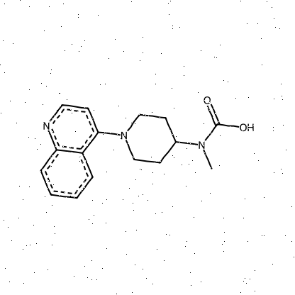 CN(C(=O)O)C1CCN(c2ccnc3ccccc23)CC1